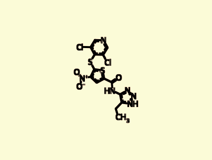 CCc1[nH]nnc1NC(=O)c1cc([N+](=O)[O-])c(Sc2c(Cl)cncc2Cl)s1